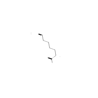 C=CCCCC[C@H](C)C(=O)O